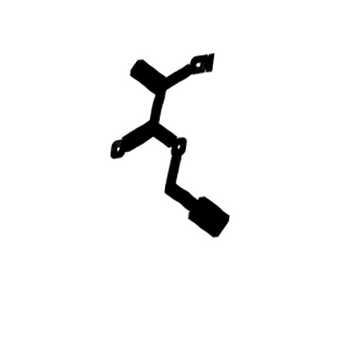 C#CCOC(=O)C(=C)C#N